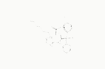 CCCCCC[N+]1(CC(=O)O)C=CN=C1NC(=O)C(O)(c1ccccc1)c1ccccc1.Cl